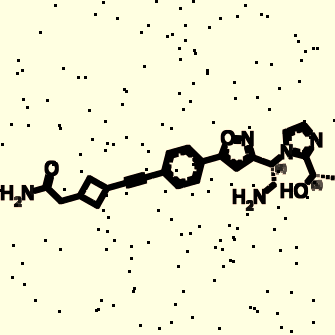 C[C@H](O)c1nccn1[C@H](CN)c1cc(-c2ccc(C#CC3CC(CC(N)=O)C3)cc2)on1